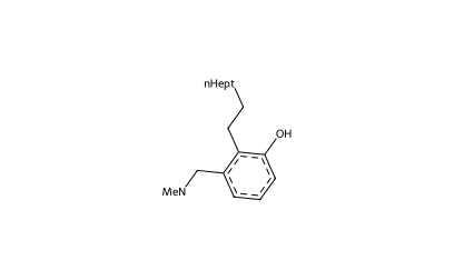 CCCCCCCCCc1c(O)cccc1CNC